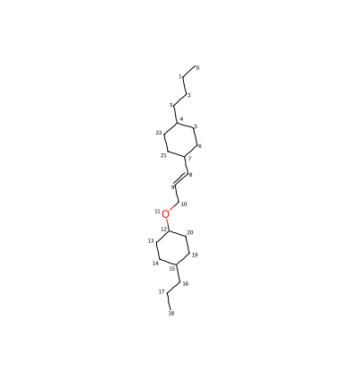 CCCCC1CCC(C=CCOC2CCC(CCC)CC2)CC1